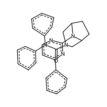 O=C(N1CC2CCC(C1)N2c1nccc(-c2ccccc2)n1)N(c1ccccc1)c1ccccc1